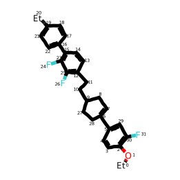 CCOc1ccc(C2=CCC(CCc3ccc(-c4ccc(CC)cc4)c(F)c3F)CC2)cc1F